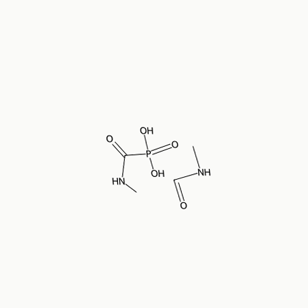 CNC(=O)P(=O)(O)O.CNC=O